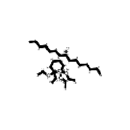 CCCCCCCCCCCCCCC.CCOC1(CC)CCCC[Si]1(OCC)OCC.F